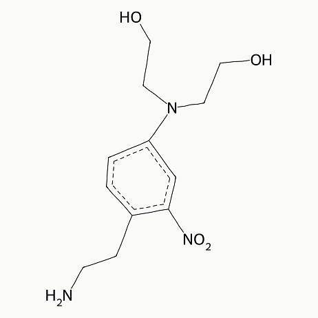 NCCc1ccc(N(CCO)CCO)cc1[N+](=O)[O-]